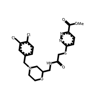 COC(=O)c1ccc(SCC(=O)NCC2CN(Cc3ccc(Cl)c(Cl)c3)CCO2)nn1